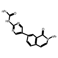 CCCC(=O)Nc1ncc(-c2ccc3ccn(CCC)c(=O)c3c2)cn1